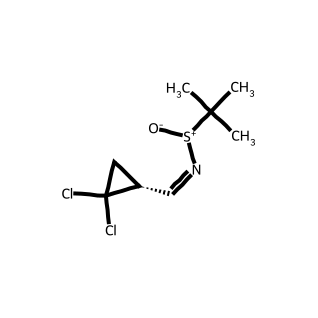 CC(C)(C)[S+]([O-])/N=C\[C@H]1CC1(Cl)Cl